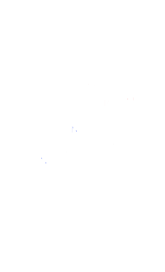 Cn1ccc2ccc(B(O)O)nc21